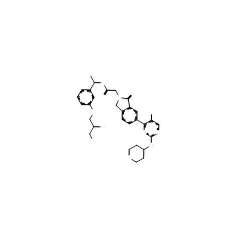 CC(NC(=O)CN1Cc2ccc(-c3nc(NC4CCOCC4)ncc3Cl)cc2C1=O)c1cccc(OCC(O)CO)c1